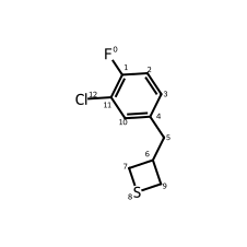 Fc1ccc(CC2CSC2)cc1Cl